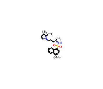 COc1ccc(S(=O)(=O)NC(C)CCCN2CCC(C)C2C)c2ccccc12